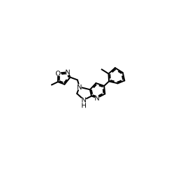 Cc1cc(CN2CNc3ncc(-c4ccccc4C)cc32)no1